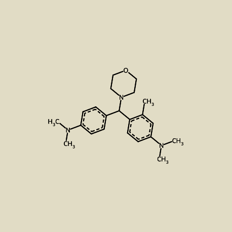 Cc1cc(N(C)C)ccc1C(c1ccc(N(C)C)cc1)N1CCOCC1